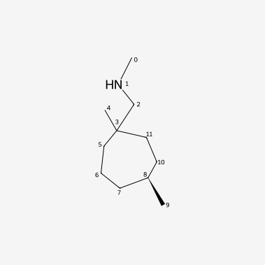 CNCC1(C)CCC[C@H](C)CC1